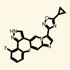 Fc1cccc(F)c1-c1n[nH]cc1-c1ccc2ncc(-c3noc(C4CC4)n3)n2c1